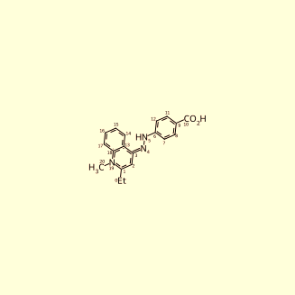 CCc1c/c(=N/Nc2ccc(C(=O)O)cc2)c2ccccc2n1C